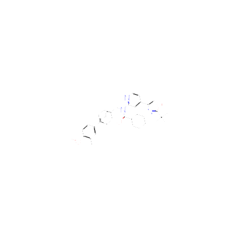 COc1ccc(C23CCC(CN(C(=O)C4CCCCC4)c4cc(-c5coc(C(C)(C)C)n5)ccn4)(CC2)CC3)cc1C